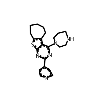 c1cc(-c2nc(N3CCCNCC3)c3c4c(sc3n2)CCCCC4)ccn1